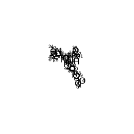 CCOC(=O)C1CCN(c2ccc(-c3nc4nc(-c5cnc(OCC)c(C(F)(F)F)c5)cc(N(C)CC5(COC)CCC5)c4[nH]3)c(C)c2)CC1